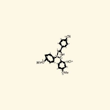 COc1ccc(N2N=C(c3ccc(C#N)cc3)NN2c2ccc(OC)cc2)cc1.Cl